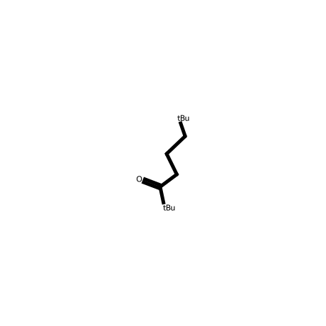 CC(C)(C)CCCC(=O)C(C)(C)C